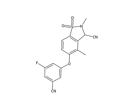 Cc1c(Oc2cc(F)cc(C#N)c2)ccc2c1C(C#N)N(C)S2(=O)=O